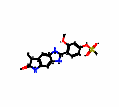 COc1cc(OS(C)(=O)=O)ccc1C1Nc2cc3c(cc2N1)C(C)C(=O)N3